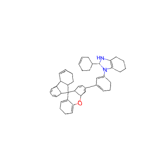 C1=CC2C3C=CCCC3C3(C4=CCCC=C4OC4C=C(C5=CCCC(N6C7=C(CCCC7)NC6C6CC=CCC6)=C5)C=CC43)C2C=C1